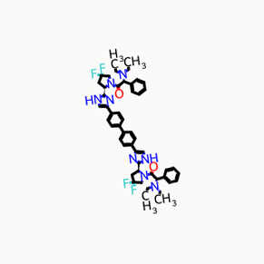 CCN(CC)[C@@H](C(=O)N1CC(F)(F)C[C@H]1c1nc(-c2ccc(-c3ccc(-c4c[nH]c([C@@H]5CC(F)(F)CN5C(=O)[C@@H](c5ccccc5)N(CC)CC)n4)cc3)cc2)c[nH]1)c1ccccc1